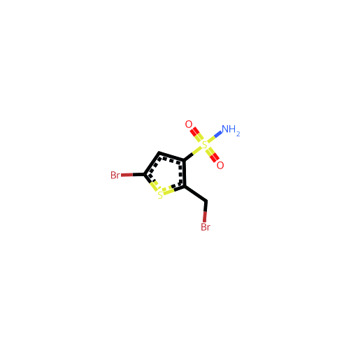 NS(=O)(=O)c1cc(Br)sc1CBr